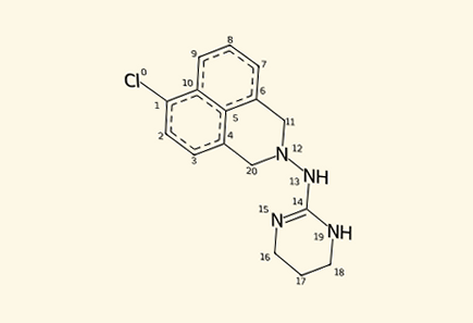 Clc1ccc2c3c(cccc13)CN(NC1=NCCCN1)C2